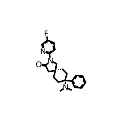 CN(C)[C@]1(c2ccccc2)CC[C@]2(CC1)CC(=O)N(c1ccc(F)cn1)C2